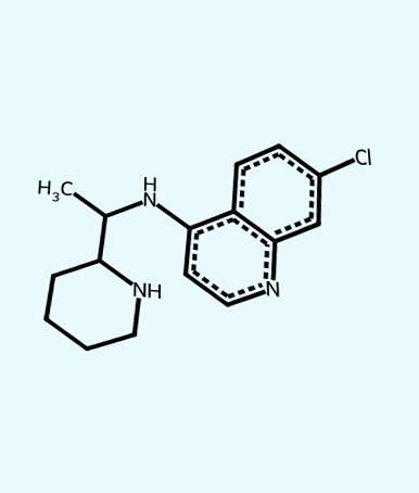 CC(Nc1ccnc2cc(Cl)ccc12)C1CCCCN1